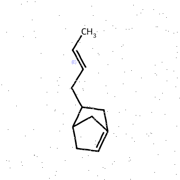 C/C=C/CC1CC2=CCC1C2